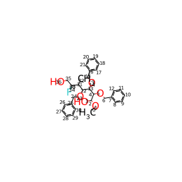 COC(O)C(OCc1ccccc1)C(OCc1ccccc1)C(OCc1ccccc1)C(C)[C@@H](F)CO